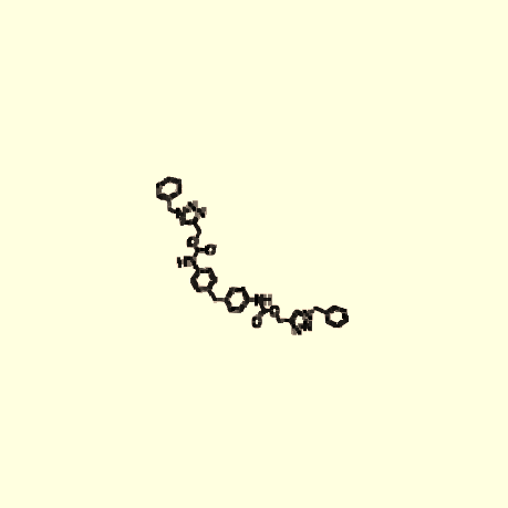 O=C(Nc1ccc(Cc2ccc(NC(=O)OCc3cn(Cc4ccccc4)nn3)cc2)cc1)OCc1cn(Cc2ccccc2)nn1